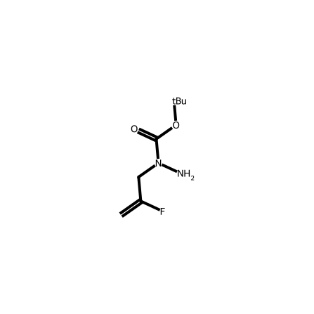 C=C(F)CN(N)C(=O)OC(C)(C)C